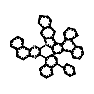 c1ccc(-c2ccc(-c3nc4ccc5ccccc5c4nc3-n3c4cc5ccccc5cc4c4c5c6ccccc6c6ccccc6c5ccc43)c3ccccc23)cc1